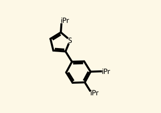 CC(C)c1ccc(-c2ccc(C(C)C)c(C(C)C)c2)s1